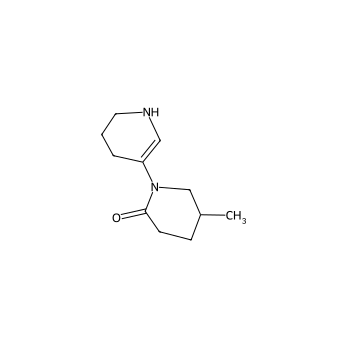 CC1CCC(=O)N(C2=CNCCC2)C1